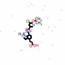 CC(C)Oc1ncc(-c2nc(-c3ccc(CCC(=O)O)c4ccn(C)c34)no2)cc1Cl